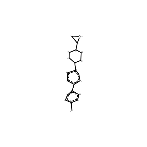 Cc1ccc(-c2ccc(C3CCC(C4CO4)CC3)cc2)cc1